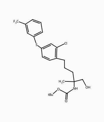 CC(CO)(CCCc1ccc(Sc2cccc(C(F)(F)F)c2)cc1Cl)NC(=O)OC(C)(C)C